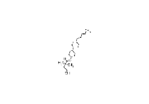 CCCCCC1CCC(C2CCC(OC(=O)C(C)(C)CCO)CC2)CC1